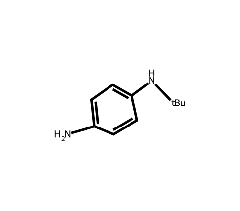 CC(C)(C)Nc1ccc(N)cc1